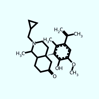 C=C(C)c1cc(OC)c(O)c([C@@]23CCN(CC4CC4)C(C)C2CCC(=O)C3)c1C